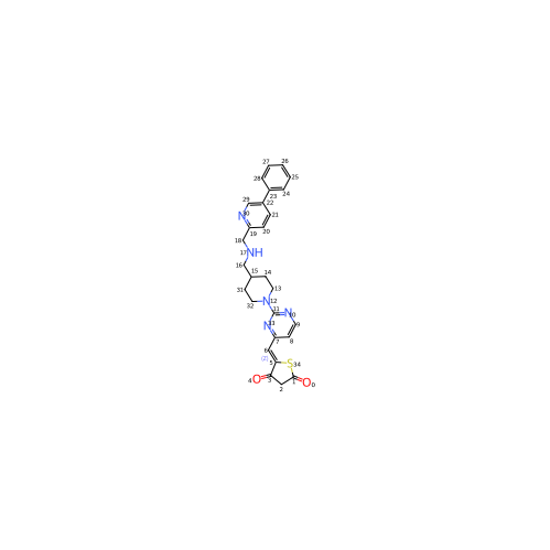 O=C1CC(=O)/C(=C/c2ccnc(N3CCC(CNCc4ccc(-c5ccccc5)cn4)CC3)n2)S1